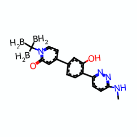 BC(B)(B)n1ccc(-c2ccc(-c3ccc(NC)nn3)c(O)c2)cc1=O